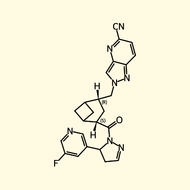 N#Cc1ccc2nn(C[C@@H]3C[C@H](C(=O)N4N=CCC4c4cncc(F)c4)C4CC3C4)cc2n1